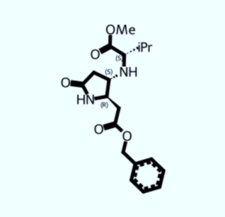 COC(=O)[C@@H](N[C@H]1CC(=O)N[C@@H]1CC(=O)OCc1ccccc1)C(C)C